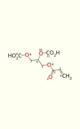 C=CC(=O)OCC(COC(=O)O)OC(=O)O